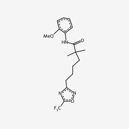 COc1ccccc1NC(=O)C(C)(C)CCCCc1noc(C(F)(F)F)n1